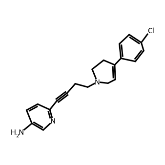 Nc1ccc(C#CCCN2CC=C(c3ccc(Cl)cc3)CC2)nc1